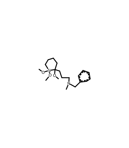 COC1(CCCN(C)Cc2ccccc2)CCCC[Si]1(OC)OC